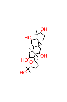 CC(C)(O)[C@@H]1CC[C@](C)([C@H]2[C@@H](O)C[C@@]3(C)C4C[C@H](O)C5C(C)(C)[C@@H](O)CC[C@@]56C[C@@]46C[C@@H](O)[C@]23C)O1